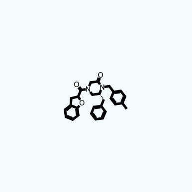 Cc1ccc(CN2C(=O)CN(C(=O)C3Cc4ccccc4O3)C[C@H]2Cc2ccccc2)cc1